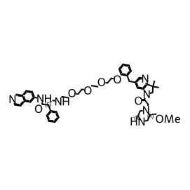 COC[C@H]1CN[C@H](C)CN1CC(=O)N1CC(C)(C)c2ncc(Cc3ccccc3OCCOCCOCCOCCNC[C@@H](C(=O)Nc3ccc4cnccc4c3)c3ccccc3)cc21